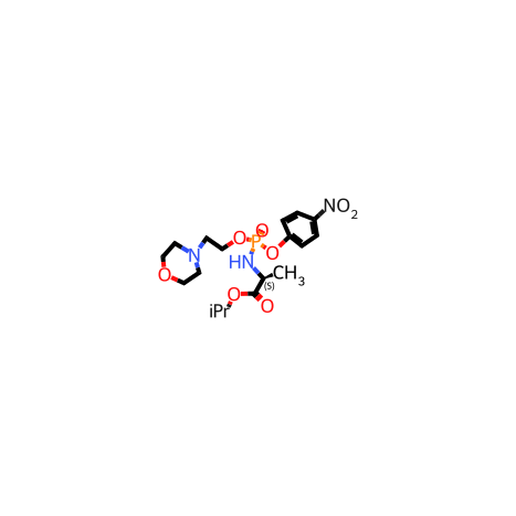 CC(C)OC(=O)[C@H](C)NP(=O)(OCCN1CCOCC1)Oc1ccc([N+](=O)[O-])cc1